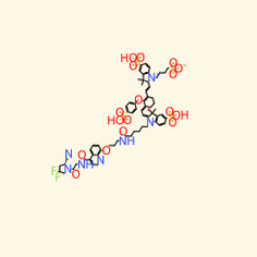 CC1(C)C(/C=C/C2=C(Oc3ccc(S(=O)(=O)O)cc3)C(=C/C=C3/N(CCCCCC(=O)NCCCOc4cccc5c(C(=O)NCC(=O)N6CC(F)(F)C[C@H]6C#N)ccnc45)c4ccc(S(=O)(=O)O)cc4C3(C)C)/CCC2)=[N+](CCCCS(=O)(=O)[O-])c2ccc(S(=O)(=O)O)cc21